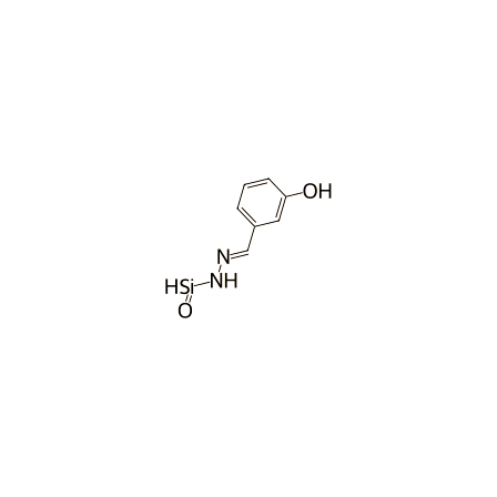 O=[SiH]NN=Cc1cccc(O)c1